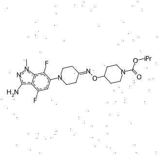 CC(C)OC(=O)N1CCC(ON=C2CCN(c3cc(F)c4c(N)nn(C)c4c3F)CC2)CC1